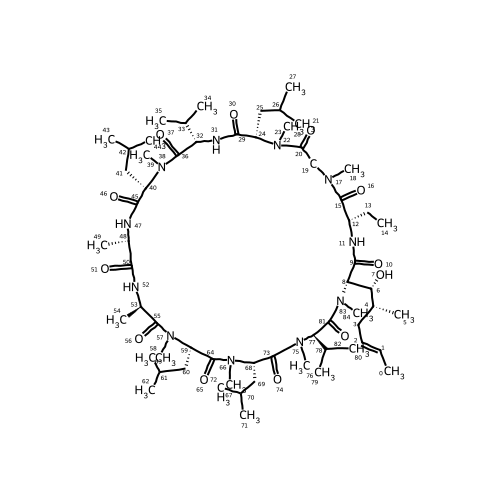 C/C=C/C[C@@H](C)[C@@H](O)[C@H]1C(=O)N[C@@H](CC)C(=O)N(C)CC(=O)N(C)[C@@H](CC(C)C)C(=O)N[C@@H](C(C)C)C(=O)N(C)[C@@H](CC(C)C)C(=O)N[C@@H](C)C(=O)N[C@H](C)C(=O)N(C)[C@@H](CC(C)C)C(=O)N(C)[C@@H](CC(C)C)C(=O)N(C)[C@H](C(C)C)C(=O)N1C